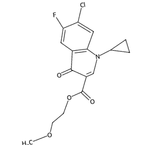 COCCOC(=O)c1cn(C2CC2)c2cc(Cl)c(F)cc2c1=O